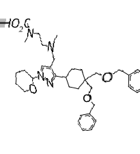 CN(CCN(C)C(=O)O)Cc1cn(C2CCCCO2)nc1C1CCC(COCc2ccccc2)(COCc2ccccc2)CC1